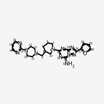 Nc1nc(N2CCCC(CN3CCN(c4ncccn4)CC3)C2)nc2nc(-c3ccco3)nn12